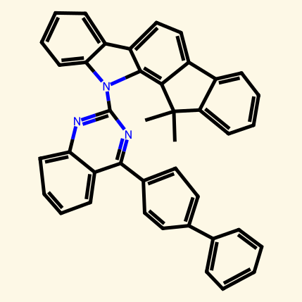 CC1(C)c2ccccc2-c2ccc3c4ccccc4n(-c4nc(-c5ccc(-c6ccccc6)cc5)c5ccccc5n4)c3c21